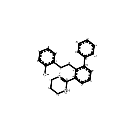 Oc1ccccc1CCc1c(C2=NCCCN2)cccc1-c1ccccc1